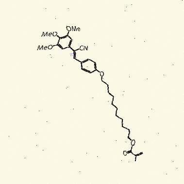 C=C(C)C(=O)OCCCCCCCCCCCOc1ccc(/C=C(\C#N)c2cc(OC)c(OC)c(OC)c2)cc1